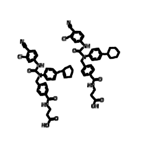 N#Cc1ccc(NC(=O)N(Cc2ccc(C(=O)NCCC(=O)O)cc2)c2ccc(C3=CCCCC3)cc2)cc1Cl.N#Cc1ccc(NC(=O)N(Cc2ccc(C(=O)NCCC(=O)O)cc2)c2ccc(C3CCCCC3)cc2)cc1Cl